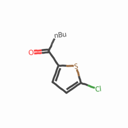 CCCCC(=O)c1ccc(Cl)s1